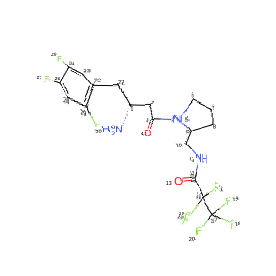 N[C@@H](CC(=O)N1CCCC1CNC(=O)C(F)(F)C(F)(F)F)Cc1cc(F)c(F)cc1F